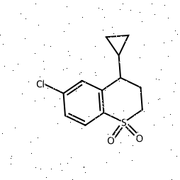 O=S1(=O)CCC(C2CC2)c2cc(Cl)ccc21